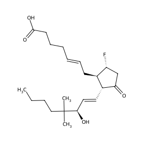 CCCCC(C)(C)[C@H](O)C=C[C@H]1C(=O)C[C@@H](F)[C@@H]1CC=CCCCC(=O)O